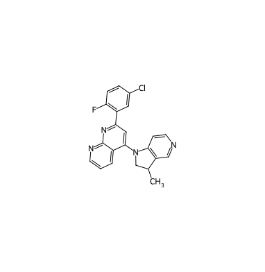 CC1CN(c2cc(-c3cc(Cl)ccc3F)nc3ncccc23)c2ccncc21